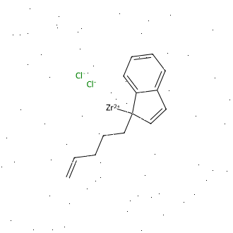 C=CCCC[C]1([Zr+2])C=Cc2ccccc21.[Cl-].[Cl-]